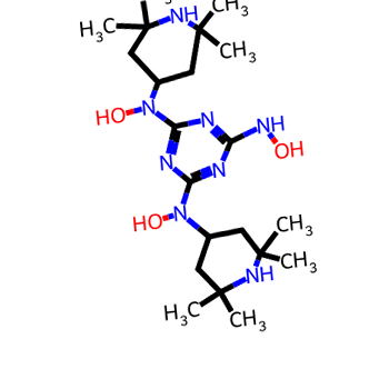 CC1(C)CC(N(O)c2nc(NO)nc(N(O)C3CC(C)(C)NC(C)(C)C3)n2)CC(C)(C)N1